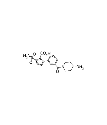 NC1CCN(C(=O)c2cccc(-c3ccn(S(N)(=O)=O)c3C(=O)O)c2)CC1